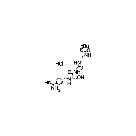 CC(C)(C)OC(=O)NCCNC(=O)CNC(=O)C(CO)NCc1ccc(C(=N)N)cc1.Cl